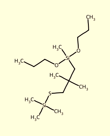 CCCO[Si](C)(CC(C)(C)CS[Si](C)(C)C)OCCC